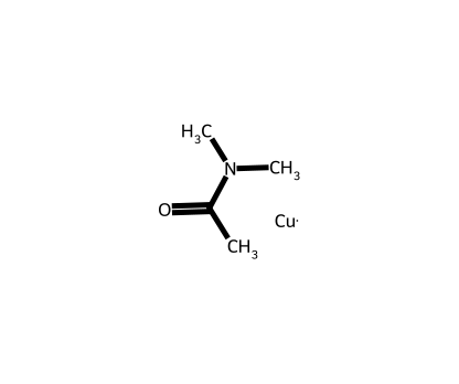 CC(=O)N(C)C.[Cu]